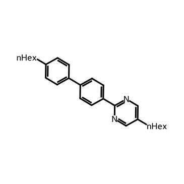 CCCCCCc1ccc(-c2ccc(-c3ncc(CCCCCC)cn3)cc2)cc1